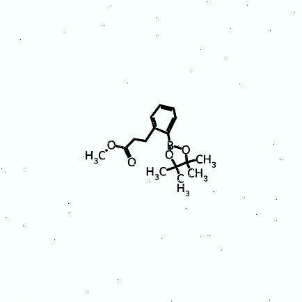 COC(=O)CCc1ccccc1B1OC(C)(C)C(C)(C)O1